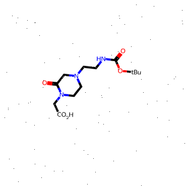 CC(C)(C)OC(=O)NCCN1CCN(CC(=O)O)C(=O)C1